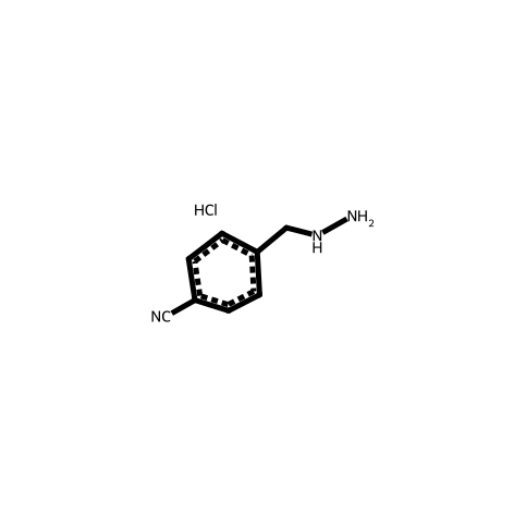 Cl.N#Cc1ccc(CNN)cc1